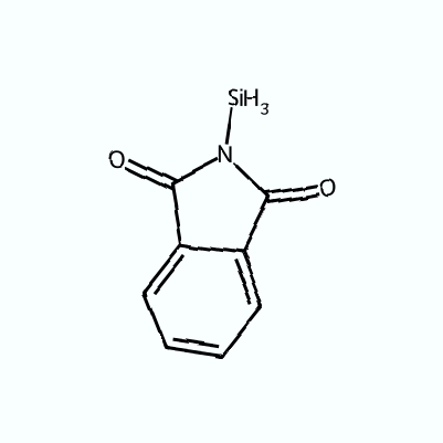 O=C1c2ccccc2C(=O)N1[SiH3]